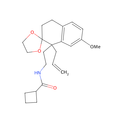 C=CCC1(CCNC(=O)C2CCC2)c2cc(OC)ccc2CCC12OCCO2